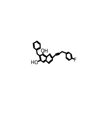 Oc1cc2ccc(C#CCc3ccc(F)cc3)cc2c(O)c1Cc1ccccc1